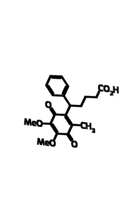 COC1=C(OC)C(=O)C(C(CCCC(=O)O)c2ccccc2)=C(C)C1=O